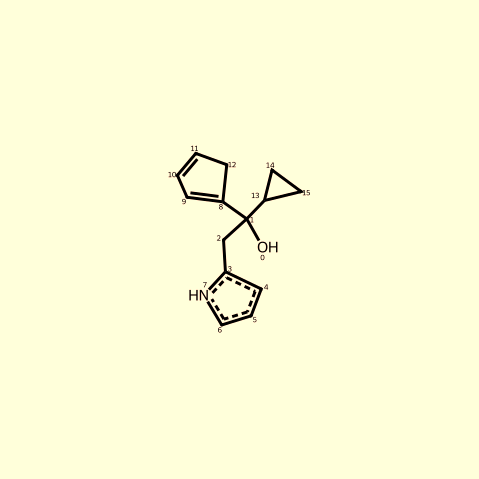 OC(Cc1ccc[nH]1)(C1=CC=CC1)C1CC1